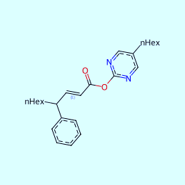 CCCCCCc1cnc(OC(=O)/C=C/C(CCCCCC)c2ccccc2)nc1